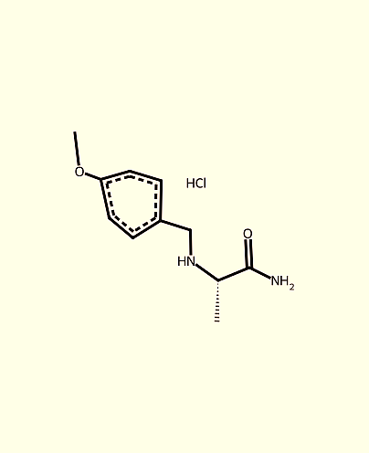 COc1ccc(CN[C@@H](C)C(N)=O)cc1.Cl